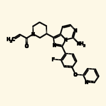 C=CC(=O)N1CCCC(c2nc(-c3ccc(Oc4ccccn4)cc3F)n3c(N)nccc23)C1